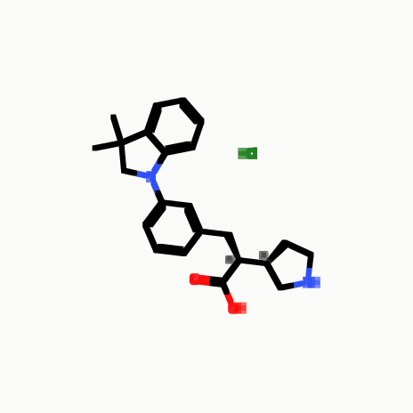 CC1(C)CN(c2cccc(C[C@H](C(=O)O)[C@H]3CCNC3)c2)c2ccccc21.Cl